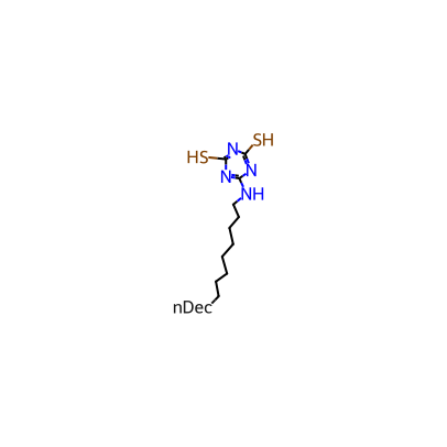 CCCCCCCCCCCCCCCCCCNc1nc(S)nc(S)n1